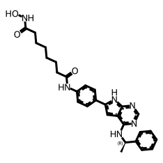 C[C@@H](Nc1ncnc2[nH]c(-c3ccc(NC(=O)CCCCCCC(=O)NO)cc3)cc12)c1ccccc1